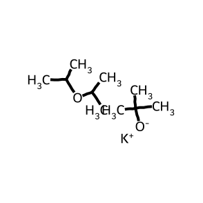 CC(C)(C)[O-].CC(C)OC(C)C.[K+]